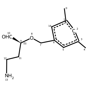 Cc1cc(C)cc(CO[C@H](C=O)CCN)c1